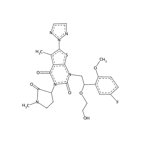 COc1ccc(F)cc1C(Cn1c(=O)n(C2CCN(C)C2=O)c(=O)c2c(C)c(-n3nccn3)sc21)OCCO